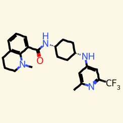 Cc1cc(N[C@H]2CC[C@@H](NC(=O)c3cccc4c3N(C)CCC4)CC2)cc(C(F)(F)F)n1